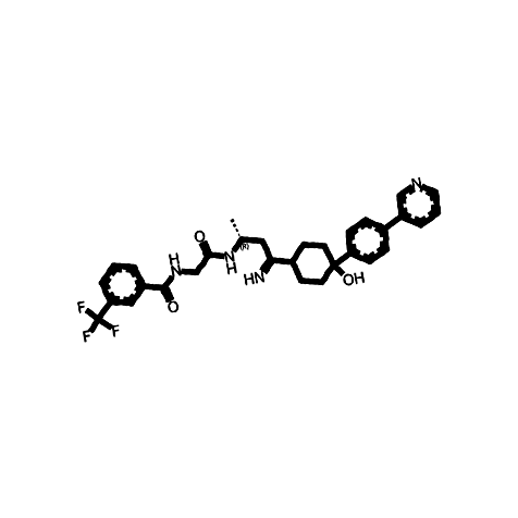 C[C@H](CC(=N)C1CCC(O)(c2ccc(-c3cccnc3)cc2)CC1)NC(=O)CNC(=O)c1cccc(C(F)(F)F)c1